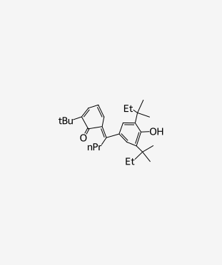 CCCC(=C1C=CC=C(C(C)(C)C)C1=O)c1cc(C(C)(C)CC)c(O)c(C(C)(C)CC)c1